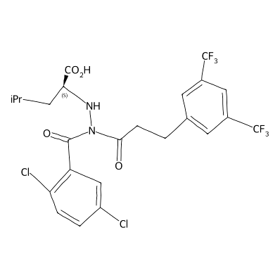 CC(C)C[C@H](NN(C(=O)CCc1cc(C(F)(F)F)cc(C(F)(F)F)c1)C(=O)c1cc(Cl)ccc1Cl)C(=O)O